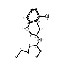 CCCCC(CC)NC1COc2cccc(O)c2C1